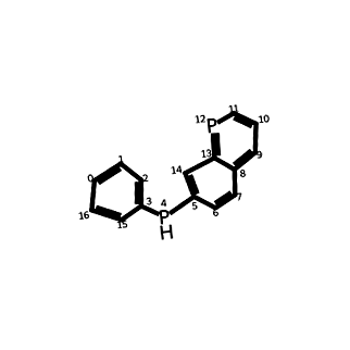 c1ccc(Pc2ccc3cccpc3c2)cc1